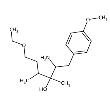 CCOCCC(C)C(C)(O)C(N)Cc1ccc(OC)cc1